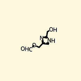 O=COCc1c[nH]c(CO)n1